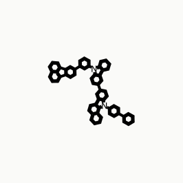 c1ccc(-c2ccc(-n3c4ccc(-c5ccc6c(c5)c5ccccc5n6-c5cccc(-c6ccc7c(c6)-c6cccc8cccc-7c68)c5)cc4c4ccc5ccccc5c43)cc2)cc1